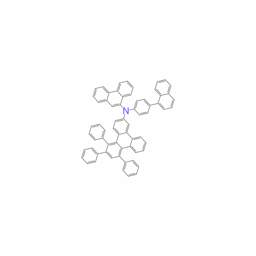 c1ccc(-c2cc(-c3ccccc3)c3c4ccccc4c4cc(N(c5ccc(-c6cccc7ccccc67)cc5)c5cc6ccccc6c6ccccc56)ccc4c3c2-c2ccccc2)cc1